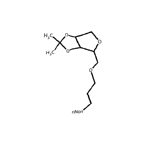 CCCCCCCCCCCCOCC1OCC2OC(C)(C)OC12